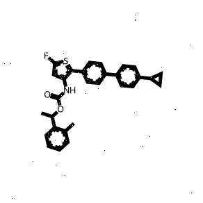 Cc1ccccc1C(C)OC(=O)Nc1cc(F)sc1-c1ccc(-c2ccc(C3CC3)cc2)cc1